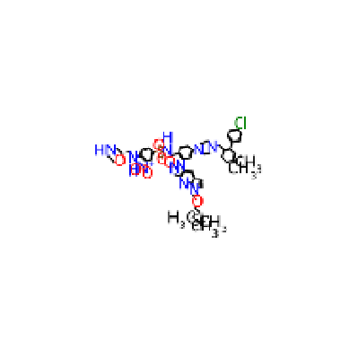 CC1(C)CCC(CN2CCN(c3ccc(C(=O)NS(=O)(=O)c4ccc(NC[C@@H]5CNCCO5)c([N+](=O)[O-])c4)c(-n4ncc5nc6c(ccn6COCC[Si](C)(C)C)cc54)c3)CC2)=C(c2ccc(Cl)cc2)C1